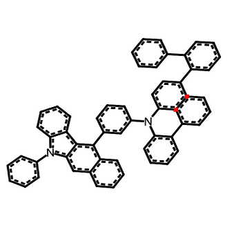 c1ccc(-c2ccccc2-c2ccc(N(c3cccc(-c4c5ccccc5cc5c4c4ccccc4n5-c4ccccc4)c3)c3ccccc3-c3ccccc3)cc2)cc1